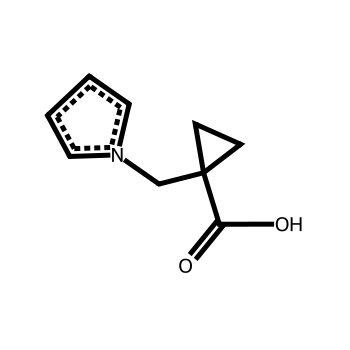 O=C(O)C1(Cn2cccc2)CC1